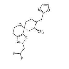 C[C@H]1C[C@@]2(CCN1Cc1ncco1)OCCc1cc(CC(F)F)sc12